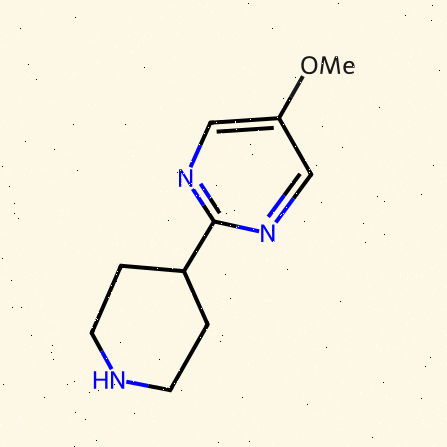 COc1cnc(C2CCNCC2)nc1